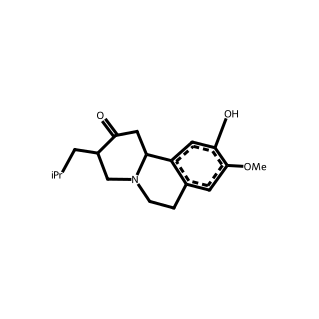 COc1cc2c(cc1O)C1CC(=O)C(CC(C)C)CN1CC2